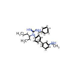 CCC[C@H](CC)N(C(=N)NCc1ccccc1)c1ccc(-c2cccc(NC)c2)cc1